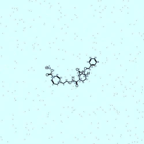 CC(C)(C)OC(=O)N1C=CCN(CCONC(=O)[C@@H]2CC[C@@H]3CN2C(=O)N3OCc2ccccc2)C=C1